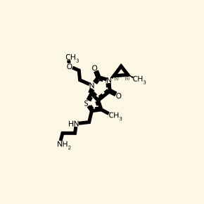 COCCn1c(=O)n([C@H]2C[C@@H]2C)c(=O)c2c(C)c(CNCCN)sc21